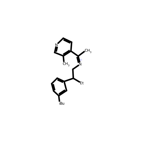 CCC(C)c1cccc(C(CC)C/N=C(/C)c2ccncc2C)c1